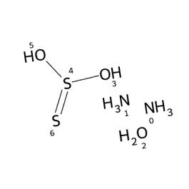 N.N.O.OS(O)=S